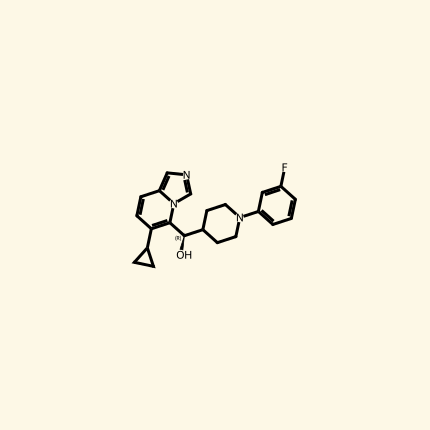 O[C@@H](c1c(C2CC2)ccc2cncn12)C1CCN(c2cccc(F)c2)CC1